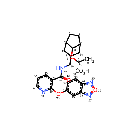 C[C@@H](OC1C2CCC1CC(CNC(=O)c1cccnc1Oc1ccc3nonc3c1)C2)C(=O)O